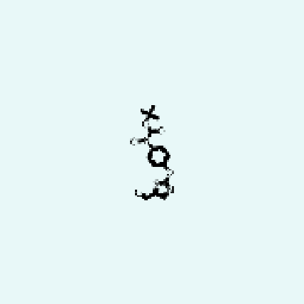 CC(C)(C)OC(=O)N(Cl)c1ccc(Oc2ncc(C=O)s2)cc1